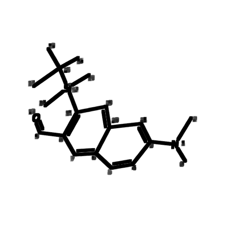 CN(C)c1ccc2cc(C=O)c([Si](C)(C)C(C)(C)C)cc2c1